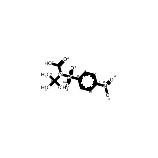 CC(C)(C)N(C(=O)O)S(=O)(=O)c1ccc([N+](=O)[O-])cc1